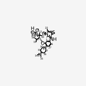 COc1cc(NN2CN(OCC(C)(CC(C)C)NC(=O)O)C(C)=C3SC32)ccc1N1CCC(N(C)C)CC1